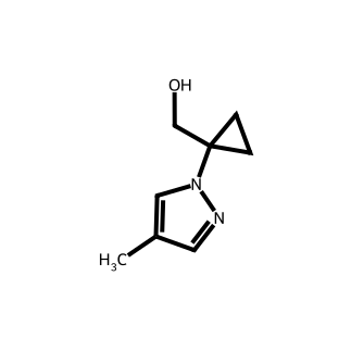 Cc1cnn(C2(CO)CC2)c1